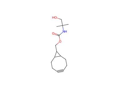 CC(C)(CO)NC(=O)OCC1C2CCC#CCCC21